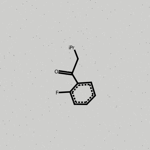 CC(C)CC(=O)c1ccccc1F